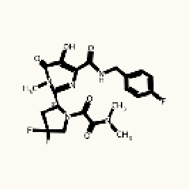 CN(C)C(=O)C(=O)N1CC(F)(F)C[C@H]1c1nc(C(=O)NCc2ccc(F)cc2)c(O)c(=O)n1C